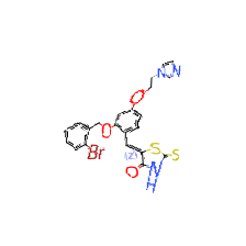 O=C1NC(=S)S/C1=C\c1ccc(OCCn2ccnc2)cc1OCc1ccccc1Br